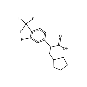 O=C(O)C(CC1CCCC1)c1ccc(C(F)(F)F)c(F)c1